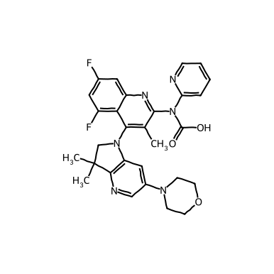 Cc1c(N(C(=O)O)c2ccccn2)nc2cc(F)cc(F)c2c1N1CC(C)(C)c2ncc(N3CCOCC3)cc21